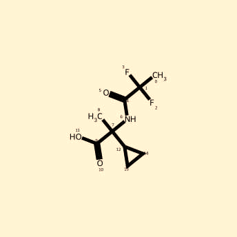 CC(F)(F)C(=O)NC(C)(C(=O)O)C1CC1